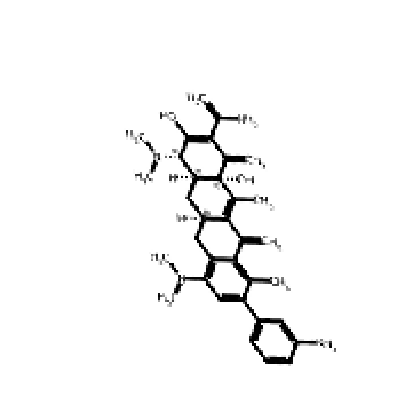 C=C(N)C1=C(O)[C@@H](N(C)C)[C@@H]2C[C@@H]3Cc4c(N(C)C)cc(-c5cccc(N)c5)c(C)c4C(=C)C3=C(C)[C@]2(O)C1=C